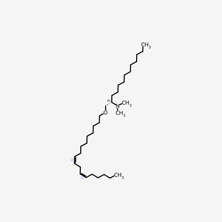 CCCCC/C=C\C/C=C\CCCCCCCCOC[C@H](CCCCCCCCCCC)N(C)C